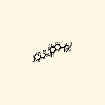 CN1CCOC(CC(=O)Nc2cc3cc(-c4cn(C)nn4)ccc3cn2)C1